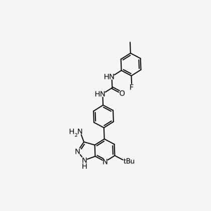 Cc1ccc(F)c(NC(=O)Nc2ccc(-c3cc(C(C)(C)C)nc4[nH]nc(N)c34)cc2)c1